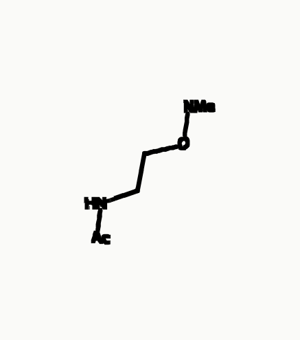 CNOCCNC(C)=O